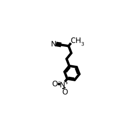 CC(C#N)CCc1cccc([N+](=O)[O-])c1